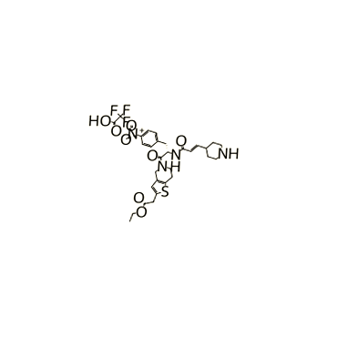 CCOC(=O)Cc1cc2c(s1)CCN(C(=O)[C@H](Cc1ccc([N+](=O)[O-])cc1)NC(=O)C=CC1CCNCC1)C2.O=C(O)C(F)(F)F